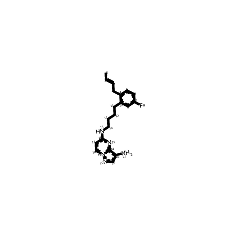 CC=CCc1ccc(F)cc1CCCCNc1ccn2ncc(N)c2n1